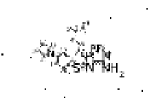 C=CC(C)CCCn1c(Sc2ccc(-n3cccc3)cc2)nc2c(N)ncnc21